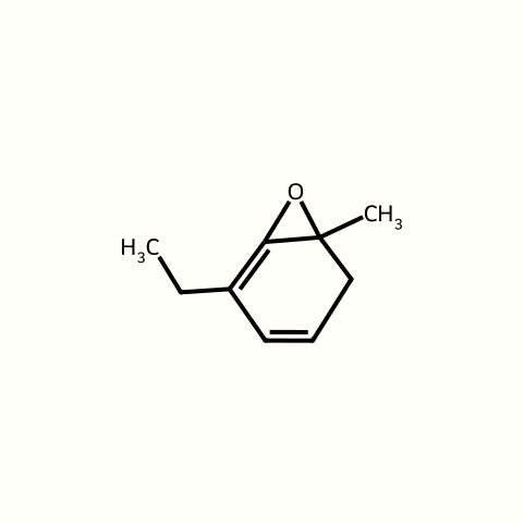 CCC1=C2OC2(C)CC=C1